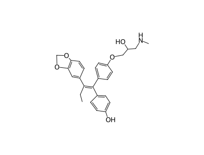 CCC(=C(c1ccc(O)cc1)c1ccc(OCC(O)CNC)cc1)c1ccc2c(c1)OCO2